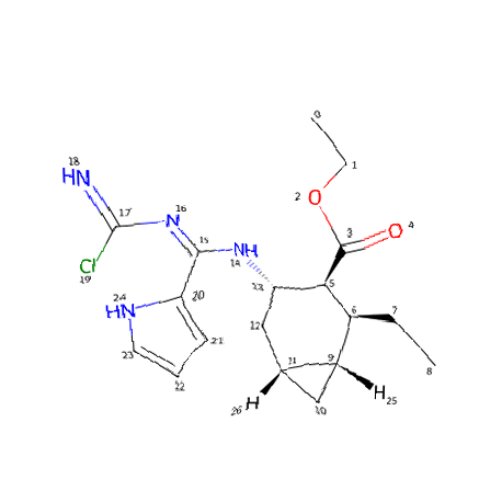 CCOC(=O)[C@H]1[C@@H](CC)[C@@H]2C[C@@H]2C[C@@H]1N/C(=N/C(=N)Cl)c1ccc[nH]1